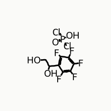 O=P(O)(Cl)Cl.OCC(O)c1c(F)c(F)c(F)c(F)c1F